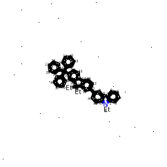 CCn1c2ccccc2c2cc(-c3ccc4c(c3)C(CC)(CC)c3cc(C(c5ccccc5)(c5ccccc5)c5ccccc5)ccc3-4)ccc21